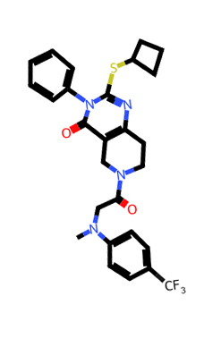 CN(CC(=O)N1CCc2nc(SC3CCC3)n(-c3ccccc3)c(=O)c2C1)c1ccc(C(F)(F)F)cc1